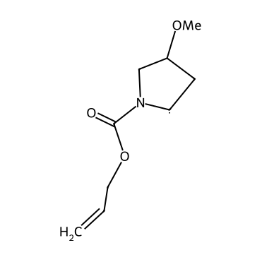 C=CCOC(=O)N1[CH]CC(OC)C1